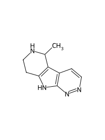 CC1NCCc2[nH]c3nnccc3c21